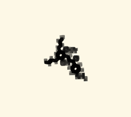 C/C=C/Cc1cc(C/C=C/C)c(OCCC)c(/C=C/C(=O)c2ccc(N)cc2)c1O